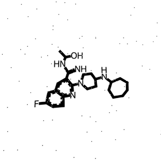 CC(O)NC(=N)c1cc2cc(F)ccc2nc1N1CCC(NC2CCCCCC2)CC1